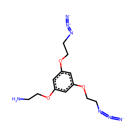 [N-]=[N+]=NCCOc1cc(OCCN)cc(OCCN=[N+]=[N-])c1